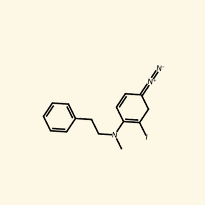 CN(CCc1ccccc1)C1=C(I)CC(=[N+]=[N-])C=C1